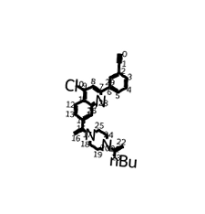 C#Cc1cccc(-c2cc(Cl)c3ccc(C(=C)N4CCN(C(=C)CCCC)CC4)cc3n2)c1